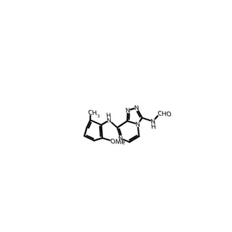 COc1cccc(C)c1Nc1nccn2c(NC=O)nnc12